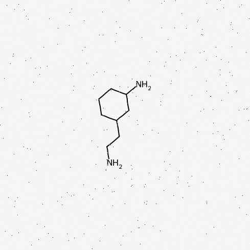 NCCC1CCCC(N)C1